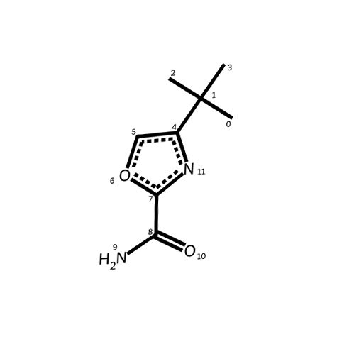 CC(C)(C)c1coc(C(N)=O)n1